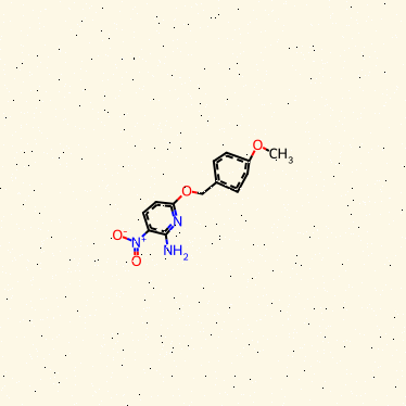 COc1ccc(COc2ccc([N+](=O)[O-])c(N)n2)cc1